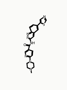 CN1CCN(c2ccc(C(=O)Nc3cc4cc(-c5cncs5)ccc4nn3)cn2)CC1